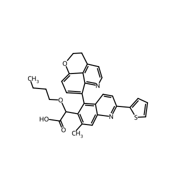 CCCCOC(C(=O)O)c1c(C)cc2nc(-c3cccs3)ccc2c1-c1ccc2c3c(ccnc13)CCO2